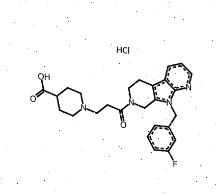 Cl.O=C(O)C1CCN(CCC(=O)N2CCc3c(n(Cc4cccc(F)c4)c4ncccc34)C2)CC1